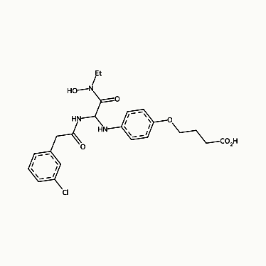 CCN(O)C(=O)C(NC(=O)Cc1cccc(Cl)c1)Nc1ccc(OCCCC(=O)O)cc1